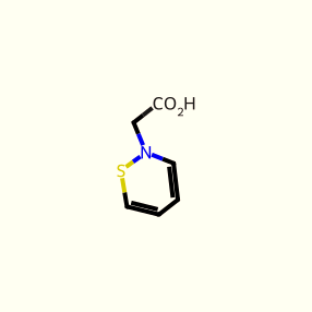 O=C(O)CN1C=CC=CS1